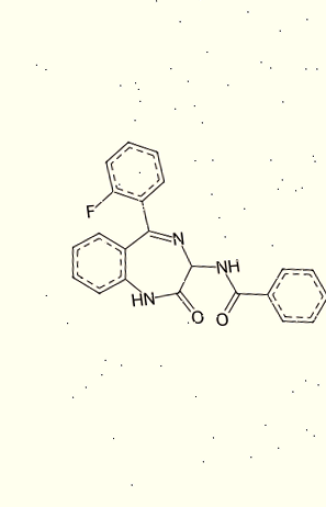 O=C(NC1N=C(c2ccccc2F)c2ccccc2NC1=O)c1ccccc1